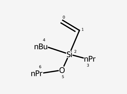 C=C[Si](CCC)(CCCC)OCCC